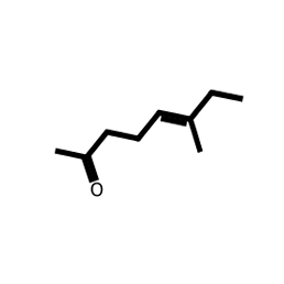 CC/C(C)=C/CCC(C)=O